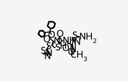 CO/N=C(\C(=O)N[C@@H]1C(=O)N2C(C(=O)OC(c3ccccc3)c3ccccc3)=C(Sc3nncs3)CS[C@H]12)c1csc(N)n1